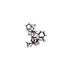 N#Cc1cc(F)cc(NC(=O)N2C3CC[C@H]2CC(OCc2c(-c4c(Cl)cccc4Cl)noc2C2CC2)C3)c1